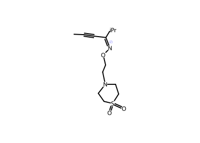 CC#C/C(=N\OCCN1CCS(=O)(=O)CC1)C(C)C